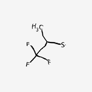 CC([S])C(F)(F)F